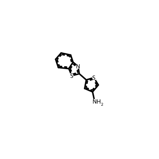 Nc1csc(-c2nc3ccccc3s2)c1